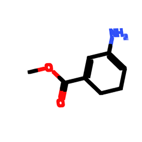 COC(=O)C1=CC(N)=CCC1